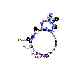 CC(=O)N1CCC[C@]12C/C=C/CCCCCC/C=C\CCCOC(=O)N1CC3N[C@@H](Cc4ccsc4)C(=O)N[C@@H](Cc4csc5ccccc45)C(=O)N[C@H](C(=O)N[C@@H](C)C(N)=O)CCC(=O)NCCCC[C@H](NC(=O)[C@H](Cc4ccccc4)NC(=O)[C@H](C)NC(=O)C(C)(C)NC(=O)[C@H](Cc4cccc(C(=O)O)c4)NC(=O)[C@H](CC(=O)O)NC(=O)NC(O)[C@H](CC(C)(C)C)NC(=O)[C@H](CC(=O)O)NC2=O)C(=O)N[C@@H]3C1